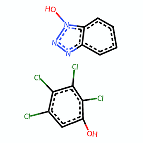 Oc1cc(Cl)c(Cl)c(Cl)c1Cl.On1nnc2ccccc21